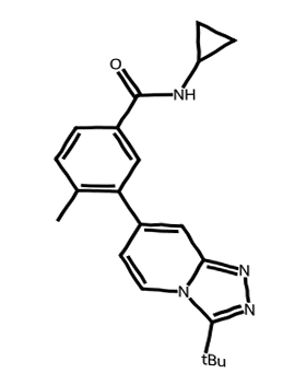 Cc1ccc(C(=O)NC2CC2)cc1-c1ccn2c(C(C)(C)C)nnc2c1